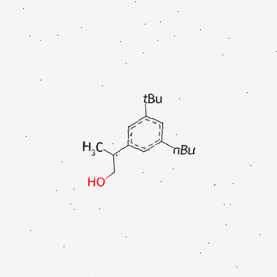 CCCCc1cc([C](C)CO)cc(C(C)(C)C)c1